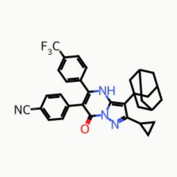 N#Cc1ccc(-c2c(-c3ccc(C(F)(F)F)cc3)[nH]c3c(C45CC6CC(CC(C6)C4)C5)c(C4CC4)nn3c2=O)cc1